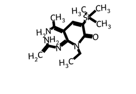 C=C(N)/N=C1\C(=C(\C)N)C=C([Si](C)(C)C)C(=O)N1CC